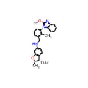 CCOc1nc2ccccc2n1-c1cccc(CNc2ccc3c(c2)OC(C)[C@H]3OC(C)=O)c1C